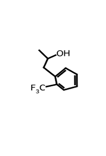 CC(O)Cc1ccccc1C(F)(F)F